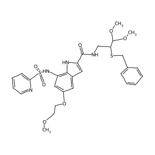 COCCOc1cc(NS(=O)(=O)c2ccccn2)c2[nH]c(C(=O)NCC(SCc3ccccc3)C(OC)OC)cc2c1